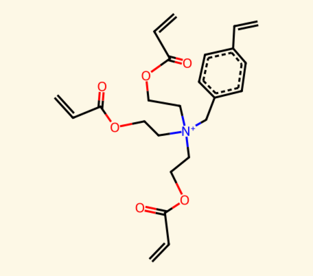 C=CC(=O)OCC[N+](CCOC(=O)C=C)(CCOC(=O)C=C)Cc1ccc(C=C)cc1